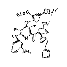 COc1cc(C(=O)O)ccc1Oc1c(F)c(Oc2cccc(N)c2)nc(Oc2cc(C#N)ccc2OCc2ccccc2)c1F